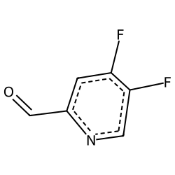 O=Cc1cc(F)c(F)cn1